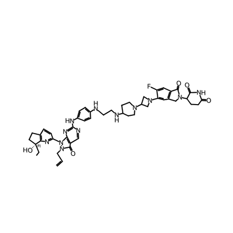 C=CCn1c(=O)c2cnc(Nc3ccc(NCCNC4CCN(C5CN(c6cc7c(cc6F)C(=O)N(C6CCC(=O)NC6=O)C7)C5)CC4)cc3)nc2n1-c1ccc2c(n1)[C@@](O)(CC)CC2